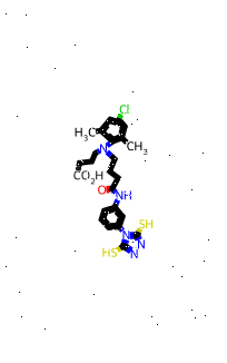 Cc1cc(Cl)cc(C)c1N(CCCC(=O)O)CCCC(=O)Nc1cccc(-n2c(S)nnc2S)c1